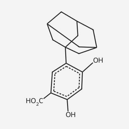 O=C(O)c1cc(C23CC4CC(CC(C4)C2)C3)c(O)cc1O